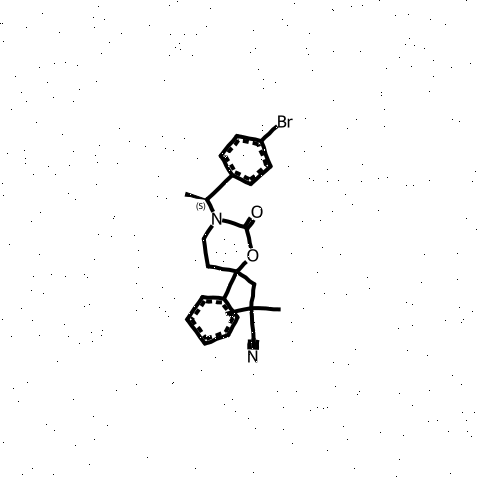 C[C@@H](c1ccc(Br)cc1)N1CCC(CC(C)(C)C#N)(c2ccccc2)OC1=O